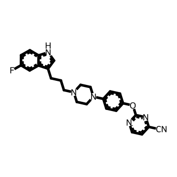 N#Cc1ccnc(Oc2ccc(N3CCN(CCCc4c[nH]c5ccc(F)cc45)CC3)cc2)n1